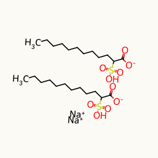 CCCCCCCCCCC(C(=O)[O-])S(=O)(=O)O.CCCCCCCCCCC(C(=O)[O-])S(=O)(=O)O.[Na+].[Na+]